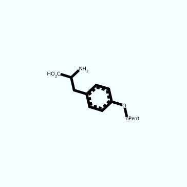 CCCCCOc1ccc(CC(N)C(=O)O)cc1